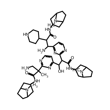 CN1C2CCC1CC(NC(=O)C(c1nccc(C(N)C(C(=O)NC3CC4CCC(C3)N4C)C3CCNCC3)n1)C(O)c1ccnc(C(C)(CN)C(=O)NC3CC4CCC(C3)N4C)n1)C2